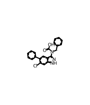 O=C(O)N([CH]c1ccccc1)c1n[nH]c2cc(Cl)c(-c3ccccc3)cc12